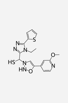 CCn1c(-c2cccs2)nnc1C(S)N1C=C(c2ccnc(OC)c2)ON1